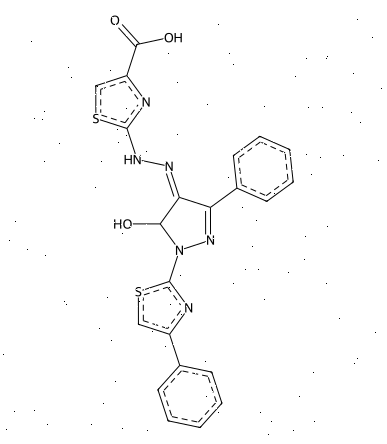 O=C(O)c1csc(N/N=C2/C(c3ccccc3)=NN(c3nc(-c4ccccc4)cs3)C2O)n1